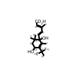 CC(C=CC1(O)C(C)=C(C(C)(F)F)C(O)CC1(C)C)=CC(=O)O